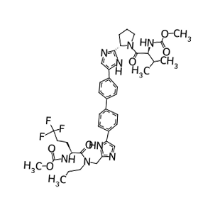 CCCN(Cc1ncc(-c2ccc(-c3ccc(-c4cnc([C@@H]5CCCN5C(=O)[C@@H](NC(=O)OC)C(C)C)[nH]4)cc3)cc2)[nH]1)C(=O)[C@H](CCC(F)(F)F)NC(=O)OC